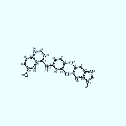 Cn1cnc2cc(Oc3ccc(Nc4ncnc5ccc(Cl)nc45)cc3Cl)cnc21